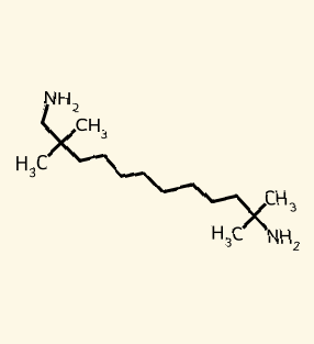 CC(C)(N)CCCCCCCCC(C)(C)CN